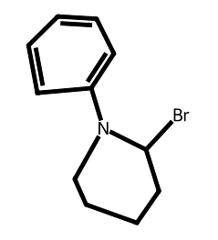 BrC1CCCCN1c1ccccc1